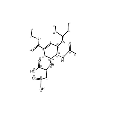 CCOC(=O)C1=C[C@@H](OC(CC)CC)[C@H](NC(C)=O)[C@@H](NC(CC(=O)O)C(=O)O)C1